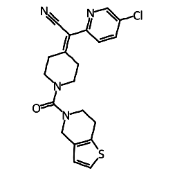 N#CC(=C1CCN(C(=O)N2CCc3sccc3C2)CC1)c1ccc(Cl)cn1